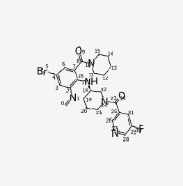 C=Nc1cc(Br)cc(C(=O)N2CCCCC2)c1N[C@@H]1CCCN(C(=O)c2cncc(F)c2)C1